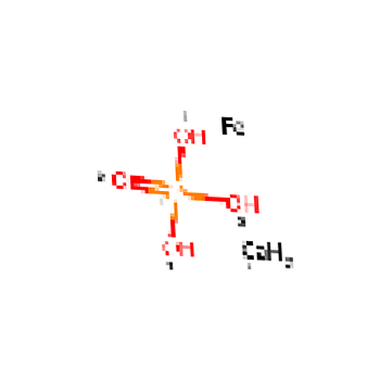 O=P(O)(O)O.[CaH2].[Fe]